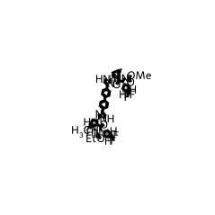 CCC(=O)NC(C(=O)C1[C@@H]2[C@H](C)[C@@H]2C[C@H]1c1nc(-c2ccc(-c3ccc(-c4c[nH]c([C@@H]5CC6CC6N5C(=O)C(NC(=O)OC)[C@@H]5C[C@@H]6[C@H](C5)C6(F)F)n4)cc3)cc2)c[nH]1)[C@@H]1C[C@@H]2[C@H](C1)C2(F)F